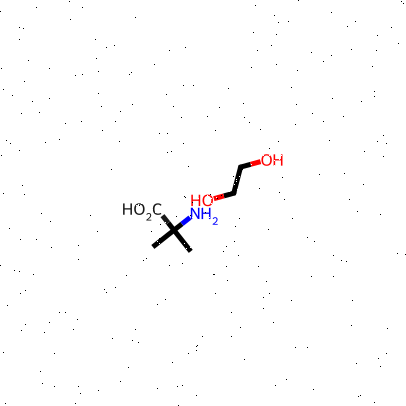 CC(C)(N)C(=O)O.OCCO